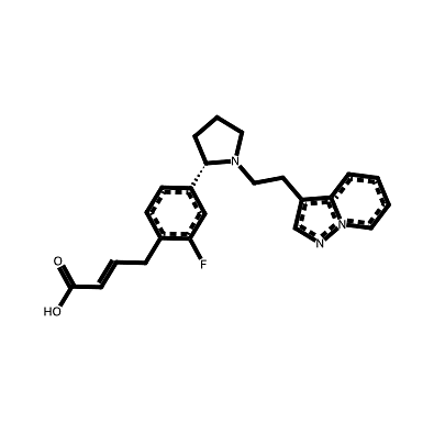 O=C(O)/C=C/Cc1ccc([C@@H]2CCCN2CCc2cnn3ccccc23)cc1F